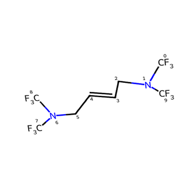 FC(F)(F)N(C/C=C/CN(C(F)(F)F)C(F)(F)F)C(F)(F)F